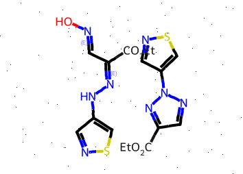 CCOC(=O)C(/C=N/O)=N/Nc1cnsc1.CCOC(=O)c1cnn(-c2cnsc2)n1